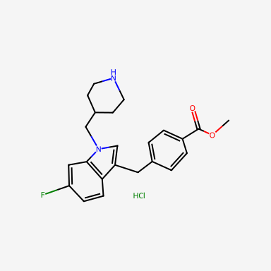 COC(=O)c1ccc(Cc2cn(CC3CCNCC3)c3cc(F)ccc23)cc1.Cl